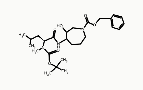 CC(C)C[C@@H](C(=O)NC1CCCN(C(=O)OCc2ccccc2)CC1O)N(C)C(=O)OC(C)(C)C